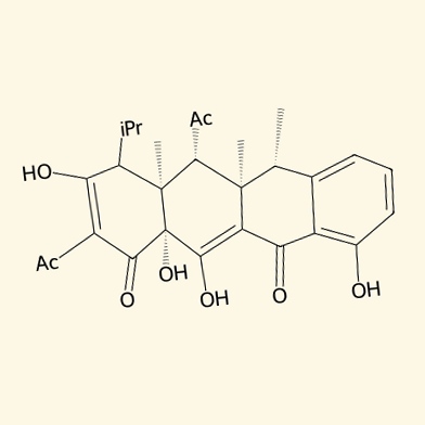 CC(=O)C1=C(O)C(C(C)C)[C@@]2(C)[C@H](C(C)=O)[C@]3(C)C(=C(O)[C@@]2(O)C1=O)C(=O)c1c(O)cccc1[C@H]3C